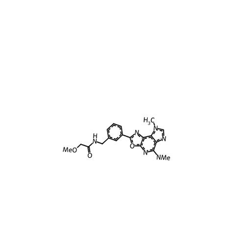 CNc1nc2oc(-c3cccc(CNC(=O)COC)c3)nc2c2c1ncn2C